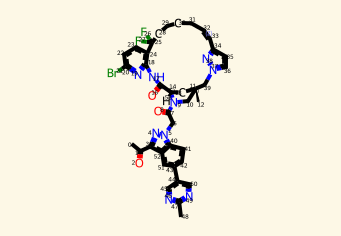 CC(=O)c1nn(CC(=O)N2C[C@]3(C)C[C@H]2C(=O)Nc2nc(Br)ccc2C(F)(F)CCCC/C=C\c2ccn(n2)C3)c2ccc(-c3cnc(C)nc3)cc12